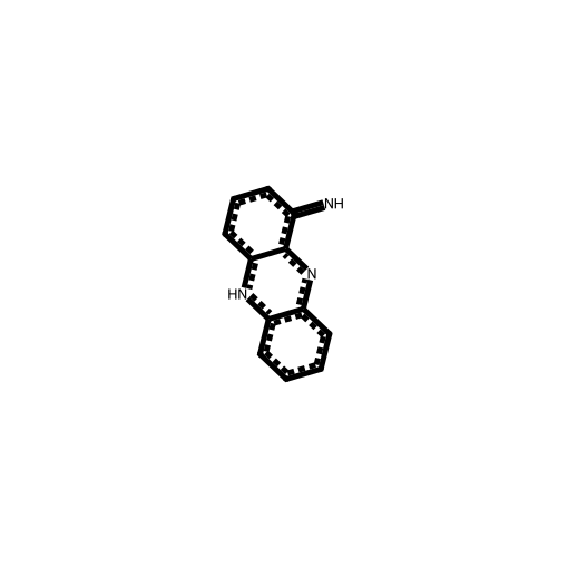 N=c1cccc2[nH]c3ccccc3nc1-2